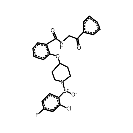 O=C(CNC(=O)c1ccccc1OC1CCN([S+]([O-])c2ccc(F)cc2Cl)CC1)c1ccccc1